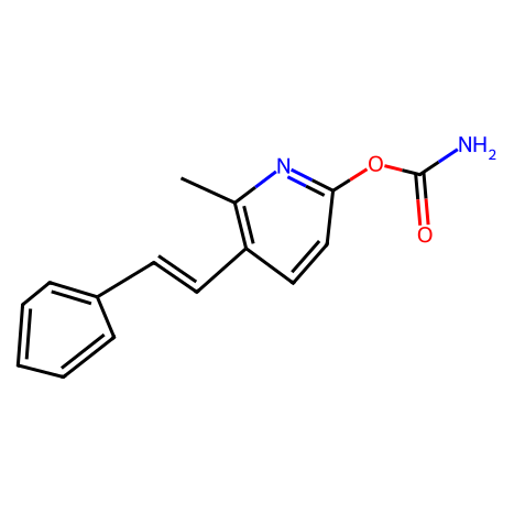 Cc1nc(OC(N)=O)ccc1C=Cc1ccccc1